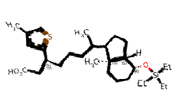 CC[Si](CC)(CC)O[C@@H]1CCC[C@@]2(C)C(C(C)CCC[C@@H](CC(=O)O)c3cc(C)cs3)CC[C@H]12